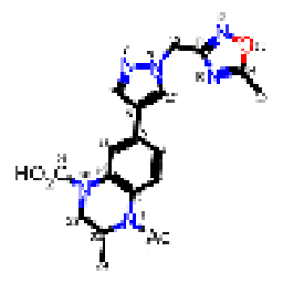 CC(=O)N1c2ccc(-c3cnn(Cc4noc(C)n4)c3)cc2N(C(=O)O)C[C@@H]1C